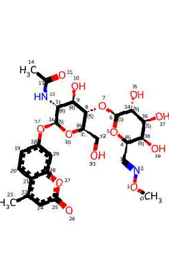 CON=C[C@H]1O[C@@H](O[C@H]2[C@H](O)[C@@H](NC(C)=O)[C@H](Oc3ccc4c(C)cc(=O)oc4c3)O[C@@H]2CO)[C@H](O)[C@@H](O)[C@H]1O